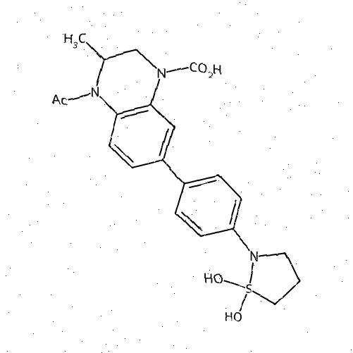 CC(=O)N1c2ccc(-c3ccc(N4CCCS4(O)O)cc3)cc2N(C(=O)O)CC1C